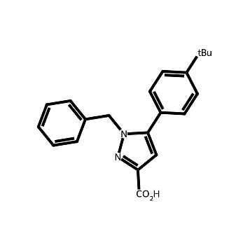 CC(C)(C)c1ccc(-c2cc(C(=O)O)nn2Cc2ccccc2)cc1